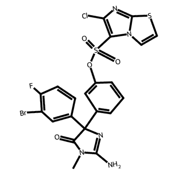 CN1C(=O)C(c2cccc(OS(=O)(=O)c3c(Cl)nc4sccn34)c2)(c2ccc(F)c(Br)c2)N=C1N